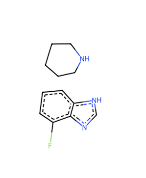 C1CCNCC1.Fc1cccc2[nH]cnc12